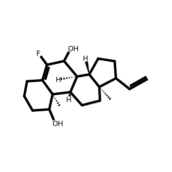 C=CC1CC[C@H]2[C@@H]3C(O)C(F)=C4CCCC(O)[C@]4(C)[C@@H]3CC[C@]12C